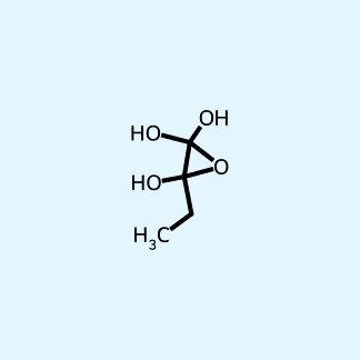 CCC1(O)OC1(O)O